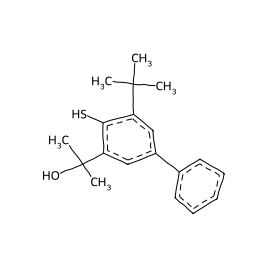 CC(C)(C)c1cc(-c2ccccc2)cc(C(C)(C)O)c1S